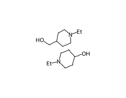 CCN1CCC(CO)CC1.CCN1CCC(O)CC1